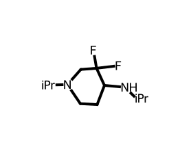 CC(C)NC1CCN(C(C)C)CC1(F)F